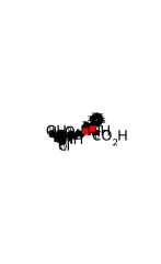 O=C(O)Nc1cc(CCCC(=O)Nc2ccc(CO)cc2Cl)ccc1-c1ccccc1